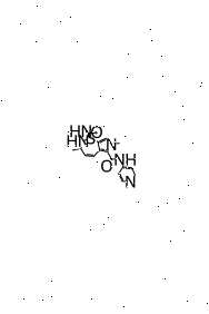 C[C@@H]1C=Cc2c(cn(C)c2C(=O)Nc2ccncc2)S(=N)(=O)N1